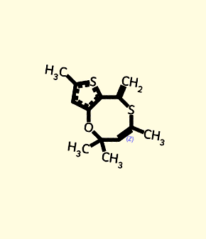 C=C1S/C(C)=C\C(C)(C)Oc2cc(C)sc21